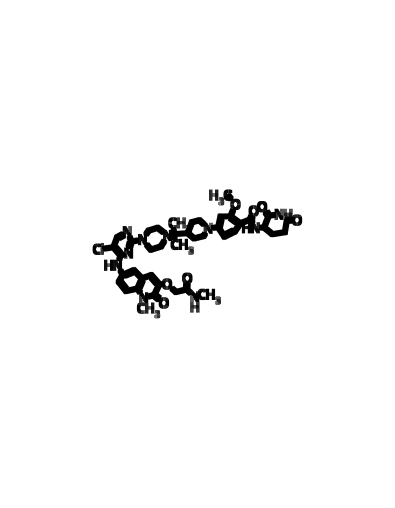 CNC(=O)COc1cc2cc(Nc3nc(N4CCN(C(C)(C)C5CCN(c6ccc(C(=O)NC7CCC(=O)NC7=O)c(OC)c6)CC5)CC4)ncc3Cl)ccc2n(C)c1=O